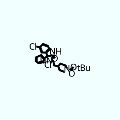 CC(C)(C)OC(=O)N1CCC(CCNC2(c3ccccc3Cl)C(=O)Nc3ccc(Cl)cc32)CC1